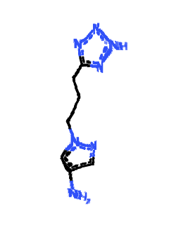 Nc1cnn(CCCc2nn[nH]n2)c1